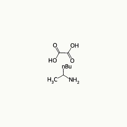 CCCCC(C)N.O=C(O)C(=O)O